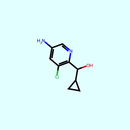 Nc1cnc(C(O)C2CC2)c(Cl)c1